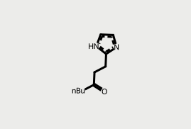 CCCCC(=O)CCc1ncc[nH]1